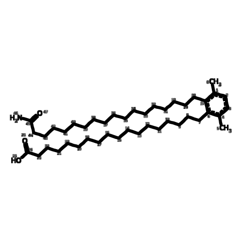 Cc1ccc(C)c(CCCCCCCCCCCCCCCCCC(=O)O)c1CCCCCCCCCCCCCCCCCC(N)=O